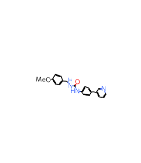 COc1ccc(CNC(=O)Nc2ccc(-c3cccnc3)cc2)cc1